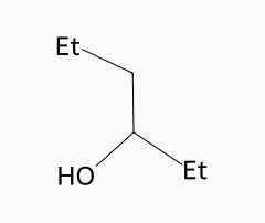 [CH2]CCC(O)C[CH2]